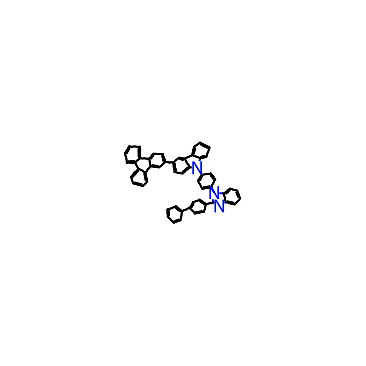 c1ccc(-c2ccc(-c3nc4ccccc4n3-c3ccc(-n4c5ccccc5c5cc(-c6ccc7c8ccccc8c8ccccc8c7c6)ccc54)cc3)cc2)cc1